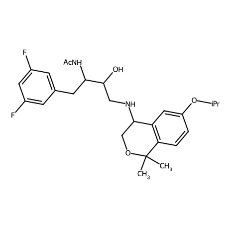 CC(=O)NC(Cc1cc(F)cc(F)c1)C(O)CNC1COC(C)(C)c2ccc(OC(C)C)cc21